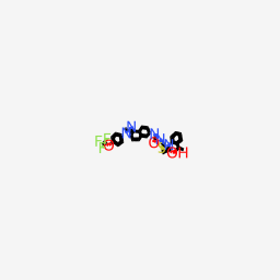 CC(C)c1ccccc1-n1c(O)csc1=NC(=O)N=C1C=CC2C(=C1)C=Cc1c2ncn1-c1ccc(OC(F)(F)F)cc1